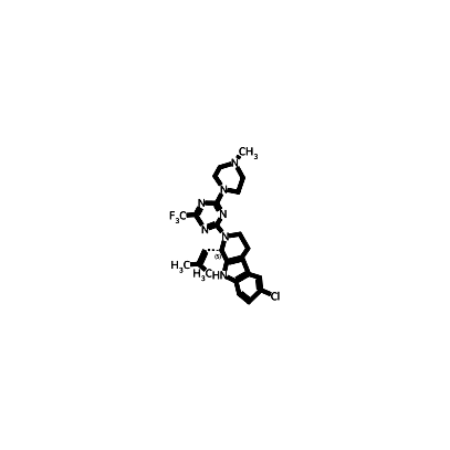 CC(C)=C[C@H]1c2[nH]c3ccc(Cl)cc3c2CCN1c1nc(N2CCN(C)CC2)nc(C(F)(F)F)n1